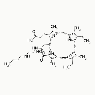 C=Cc1c(C)c2cc3nc(c(CC(=O)NCCNCCCC)c4[nH]c(cc5nc(cc1[nH]2)C(C)=C5CC)c(C)c4C(=O)O)[C@@H](CCC(=O)O)[C@@H]3C